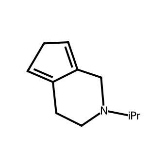 CC(C)N1CCC2=CCC=C2C1